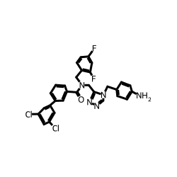 Nc1ccc(Cn2cnnc2CN(Cc2ccc(F)cc2F)C(=O)c2cccc(-c3cc(Cl)cc(Cl)c3)c2)cc1